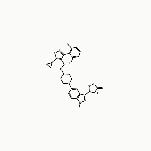 Cn1cc(-c2noc(=O)[nH]2)c2cc(N3CCC(OCc4c(-c5c(Cl)cccc5Cl)noc4C4CC4)CC3)ccc21